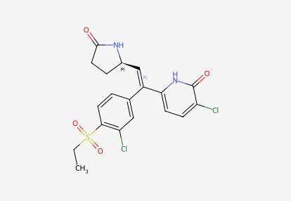 CCS(=O)(=O)c1ccc(/C(=C\[C@H]2CCC(=O)N2)c2ccc(Cl)c(=O)[nH]2)cc1Cl